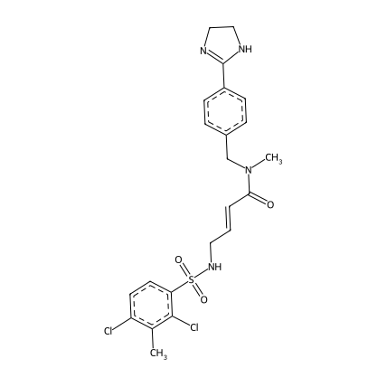 Cc1c(Cl)ccc(S(=O)(=O)NCC=CC(=O)N(C)Cc2ccc(C3=NCCN3)cc2)c1Cl